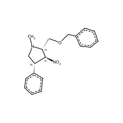 CN1C[C@@H](c2ccccc2)[C@H]([N+](=O)[O-])[C@H]1COCc1ccccc1